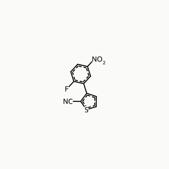 N#Cc1sccc1-c1cc([N+](=O)[O-])ccc1F